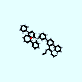 C=CC/C(=C\C=C/C)c1cc(-c2cccc(N(c3ccc(-c4ccccc4)cc3)c3ccccc3C3=CC=CC=CC3)c2)ccc1-c1ccccc1